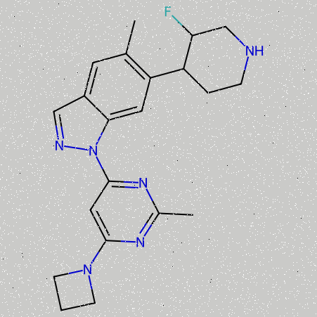 Cc1nc(N2CCC2)cc(-n2ncc3cc(C)c(C4CCNCC4F)cc32)n1